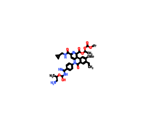 C=Cc1cc(C(=O)Nc2ccc(C(=N)NC(O)OC(C)CN)cc2)c(-c2ccc(C(=O)NCC3CC3)nc2C(=O)OC(C)OC(=O)OC(C)C)cc1OC